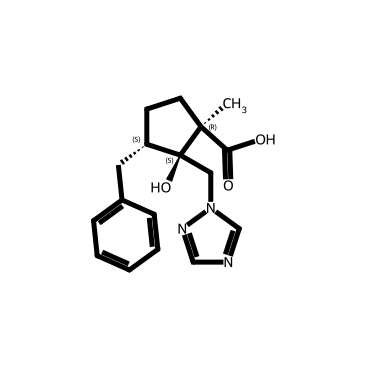 C[C@@]1(C(=O)O)CC[C@@H](Cc2ccccc2)[C@@]1(O)Cn1cncn1